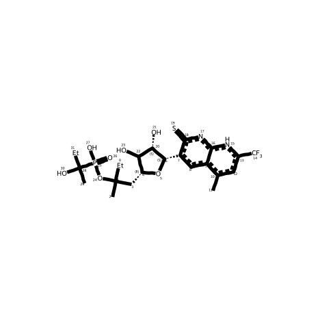 CCC(C)(C[C@H]1O[C@@H](c2cc3c(C)cc(C(F)(F)F)[nH]c-3nc2=S)[C@@H](O)C1O)OP(=O)(O)C(C)(O)CC